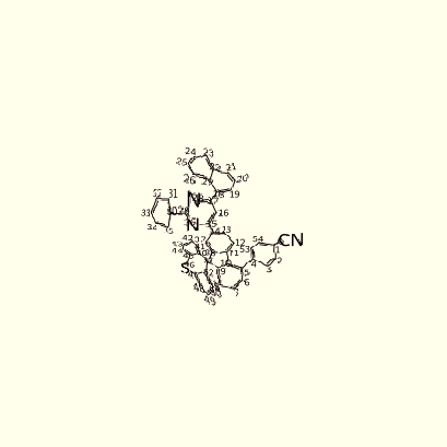 N#Cc1ccc(-c2cccc3c2-c2ccc(-c4cc(-c5cccc6ccccc56)nc(-c5ccccc5)n4)cc2C32c3ccccc3Sc3ccccc32)cc1